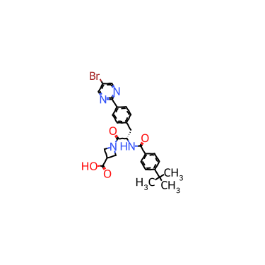 CC(C)(C)c1ccc(C(=O)N[C@@H](Cc2ccc(-c3ncc(Br)cn3)cc2)C(=O)N2CC(C(=O)O)C2)cc1